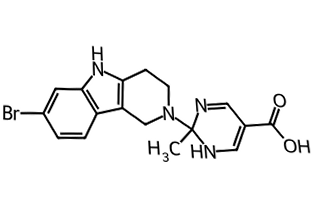 CC1(N2CCc3[nH]c4cc(Br)ccc4c3C2)N=CC(C(=O)O)=CN1